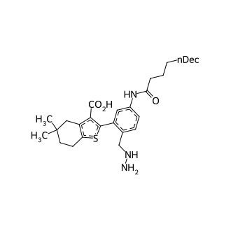 CCCCCCCCCCCCCC(=O)Nc1ccc(CNN)c(-c2sc3c(c2C(=O)O)CC(C)(C)CC3)c1